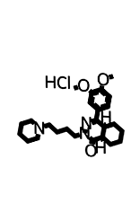 COc1ccc(C2=NN(CCCCN3CCCCC3)C(=O)[C@@H]3CCCC[C@H]23)cc1OC.Cl